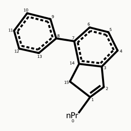 CCCC1=Cc2cccc(-c3ccccc3)c2C1